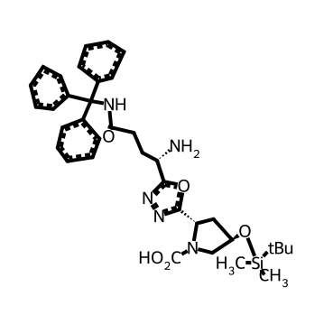 CC(C)(C)[Si](C)(C)O[C@@H]1C[C@@H](c2nnc([C@@H](N)CCC(=O)NC(c3ccccc3)(c3ccccc3)c3ccccc3)o2)N(C(=O)O)C1